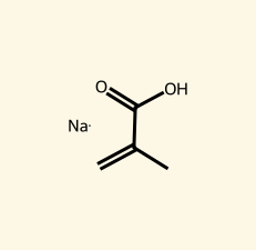 C=C(C)C(=O)O.[Na]